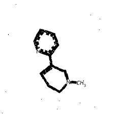 CN1CCC=C(c2ccccn2)C1